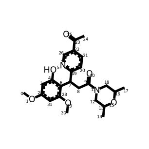 COc1cc(O)c(C(CC(=O)N2CC(C)OC(C)C2)c2ccc(C(C)=O)cn2)c(OC)c1